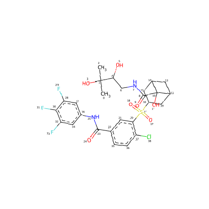 CC(C)(O)C(O)CNC(=O)C1(O)C2CC1CC(S(=O)(=O)c1cc(C(=O)Nc3cc(F)c(F)c(F)c3)ccc1Cl)C2